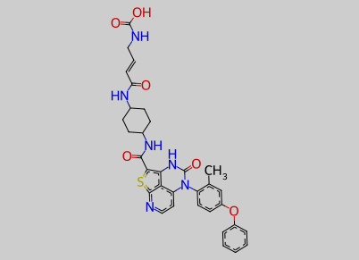 Cc1cc(Oc2ccccc2)ccc1N1C(=O)Nc2c(C(=O)NC3CCC(NC(=O)/C=C/CNC(=O)O)CC3)sc3nccc1c23